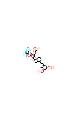 C=C1/C(=C\C=C2CCC[C@@]3(C)C2CC[C@@H]3[C@@](C)(C/C=C\C(O)(C(F)(F)F)C(F)(F)F)CCCC(C)(C)O)C[C@@H](O)CC1O